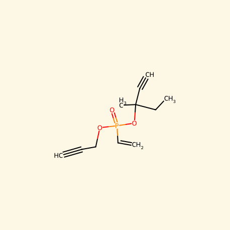 C#CCOP(=O)(C=C)OC(C)(C#C)CC